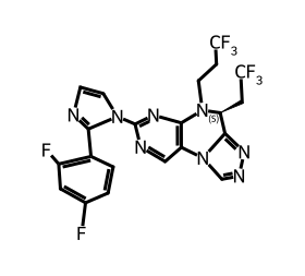 Fc1ccc(-c2nccn2-c2ncc3c(n2)N(CCC(F)(F)F)[C@@H](CC(F)(F)F)c2nncn2-3)c(F)c1